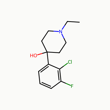 CCN1CCC(O)(c2cccc(F)c2Cl)CC1